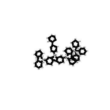 c1ccc(-c2ccc(-n3c4cc(-n5c6ccccc6c6ccccc65)ccc4c4ccc(-n5c6ccccc6c6c([Si](c7ccccc7)(c7ccccc7)c7ccccc7)cccc65)cc43)cc2)cc1